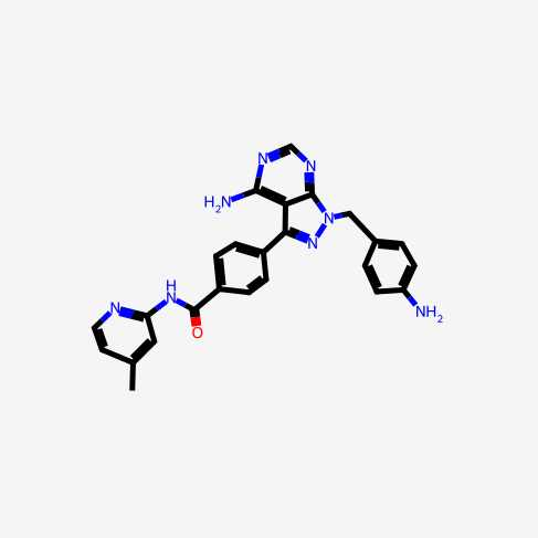 Cc1ccnc(NC(=O)c2ccc(-c3nn(Cc4ccc(N)cc4)c4ncnc(N)c34)cc2)c1